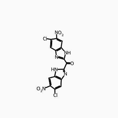 O=C(c1nc2cc(Cl)c([N+](=O)[O-])cc2[nH]1)c1nc2cc(Cl)c([N+](=O)[O-])cc2[nH]1